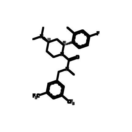 Cc1cc(F)ccc1[C@H]1C[C@H](N(C)C)CCN1C(=O)N(C)Cc1cc(C(F)(F)F)cc(C(F)(F)F)c1